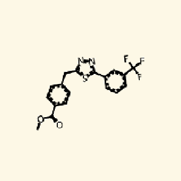 COC(=O)c1ccc(Cc2nnc(-c3cccc(C(F)(F)F)c3)s2)cc1